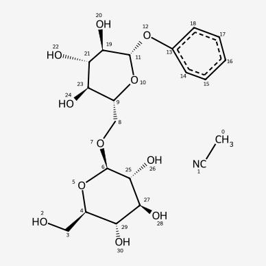 CC#N.OC[C@H]1O[C@@H](OC[C@H]2O[C@@H](Oc3ccccc3)[C@H](O)[C@@H](O)[C@@H]2O)[C@H](O)[C@@H](O)[C@@H]1O